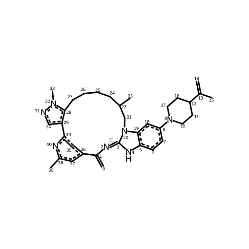 C=C1/N=C2\Nc3ccc(N4CCC(C(=C)C)CC4)cc3N2CC(C)CCCCc2c(cnn2C)-c2cc1cc(C)n2